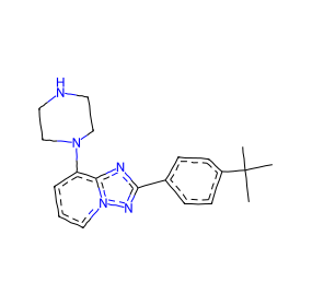 CC(C)(C)c1ccc(-c2nc3c(N4CCNCC4)cccn3n2)cc1